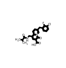 CC(C)C(=O)NCc1cc(C(=O)O)c(=O)n2cc(Cc3cccc(Cl)c3F)ccc12